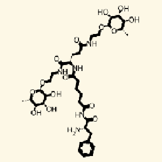 C[C@@H]1O[C@@H](OCCNC(=O)CC[C@H](NC(=O)CCCCC(=O)NC(=O)[C@@H](N)Cc2ccccc2)C(=O)NCCO[C@@H]2O[C@@H](C)[C@@H](O)[C@@H](O)[C@@H]2O)[C@@H](O)[C@H](O)[C@@H]1O